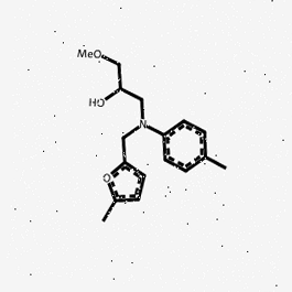 COCC(O)CN(Cc1ccc(C)o1)c1ccc(C)cc1